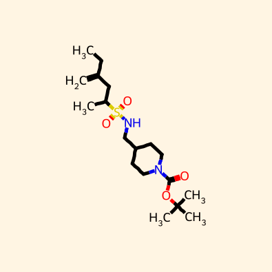 C=C(CC)CC(C)S(=O)(=O)NCC1CCN(C(=O)OC(C)(C)C)CC1